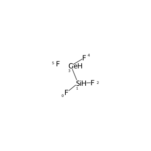 F[SiH](F)[GeH]([F])[F]